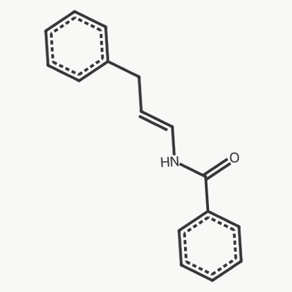 O=C(NC=CCc1ccccc1)c1ccccc1